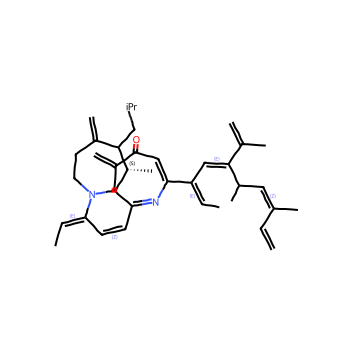 C=C/C(C)=C\C(C)/C(=C\C(=C/C)C1=CC(=O)C(=C)CC(/C=C\C(=C/C)N2CCC(=C)C(CC(C)C)[C@H](C)C2)=N1)C(=C)C